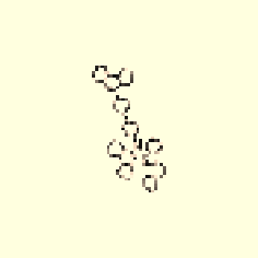 c1ccc2c(c1)cc(-c1ccc(-c3ccc(N(c4cc5ccccc5c5ccccc45)c4cccc5c4sc4c6ccccc6ccc54)cc3)cc1)c1ccccc12